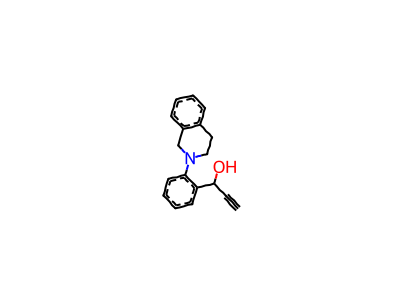 C#CC(O)c1ccccc1N1CCc2ccccc2C1